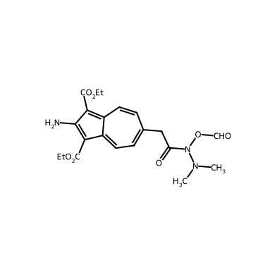 CCOC(=O)c1c2ccc(CC(=O)N(OC=O)N(C)C)ccc-2c(C(=O)OCC)c1N